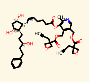 C#CCC1(C(=O)OCc2cnc(C)c(OC(=O)CCC/C=C\C[C@@H]3[C@@H](CC[C@@H](O)CCc4ccccc4)[C@H](O)C[C@@H]3O)c2COC(=O)C2(CC#C)COC2)COC1